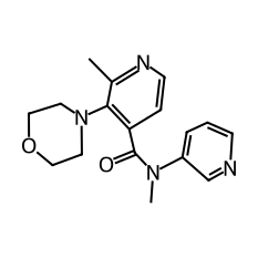 Cc1nccc(C(=O)N(C)c2cccnc2)c1N1CCOCC1